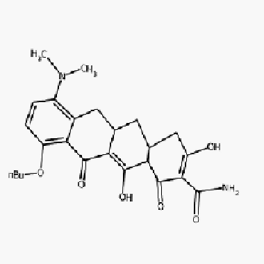 CCCCOc1ccc(N(C)C)c2c1C(=O)C1=C(O)C3C(=O)C(C(N)=O)=C(O)CC3CC1C2